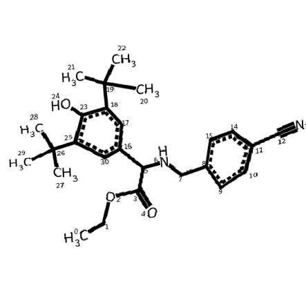 CCOC(=O)C(NCc1ccc(C#N)cc1)c1cc(C(C)(C)C)c(O)c(C(C)(C)C)c1